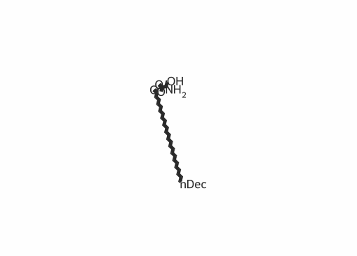 CCCCCCCCCCCCCCCCCCCCCCCCCCCCCCCCCCCC(=O)OC(=O)[C@@H](N)CO